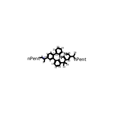 CCCCC/C=C(\C)c1ccc2c(c1)-c1cccc3c1N(c1ccccc1-2)c1ncc(C(C)CCCCC)cc1C3(C)C